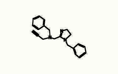 C#CCN(CC1=NCCN1Cc1ccccc1)Cc1ccccc1